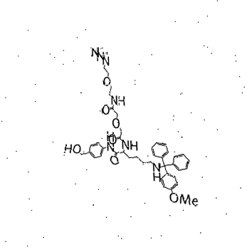 COc1ccc(C(NCCCCC(NC(=O)COCC(=O)NCCOCCN=[N+]=[N-])C(=O)Nc2ccc(CO)cc2)(c2ccccc2)c2ccccc2)cc1